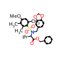 COc1cc(C)c(S(=O)(=O)N(Cc2ccc3c(c2)OCO3)C(C(=O)OCc2ccccc2)C(C)C)c(C)c1C